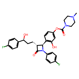 CN1CCN(C(=O)Oc2ccc([C@@H]3[C@@H](CC[C@H](O)c4ccc(F)cc4)C(=O)N3c3ccc(F)cc3)c(O)c2)CC1